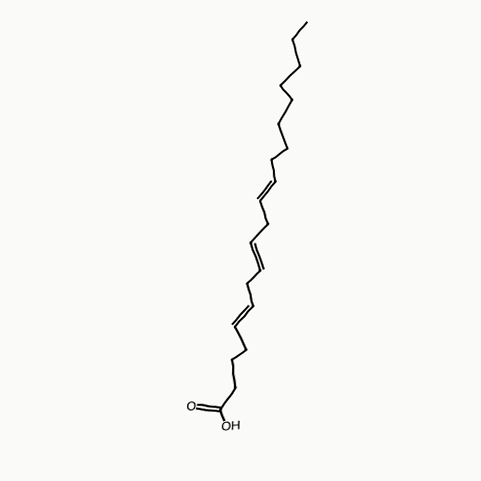 CCCCCCCC/C=C/C/C=C/C/C=C/CCCC(=O)O